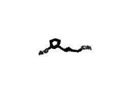 CC(=O)Oc1cccc(/C=C/CO)c1